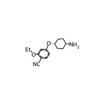 CCOc1cc(O[C@H]2CC[C@H](N)CC2)ccc1C#N